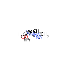 CCCC(=O)O[C@H](C)c1nccc(N2CCN(c3ncnc(C)n3)CC2(C)C)n1